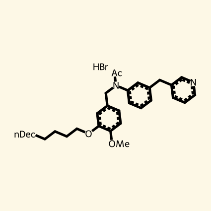 Br.CCCCCCCCCCCCCCOc1cc(CN(C(C)=O)c2cccc(Cc3cccnc3)c2)ccc1OC